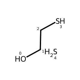 OCCS.S